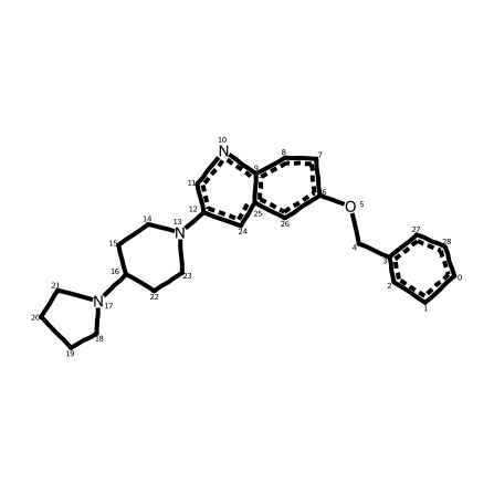 c1ccc(COc2ccc3ncc(N4CCC(N5CCCC5)CC4)cc3c2)cc1